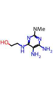 CNc1nc(N)c(N)c(NCCO)n1